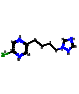 Brc1cnc(CCCCn2cncn2)cn1